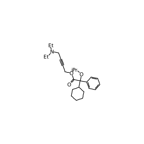 CCN(CC)CC#CCOC(=O)C(OC(C)C)(c1ccccc1)C1CCCCC1